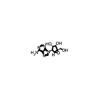 Nc1ncnc2c1ncn2[C@H]1[C@H](O)[C@H](O)[C@]2(CO)O[C@H]12